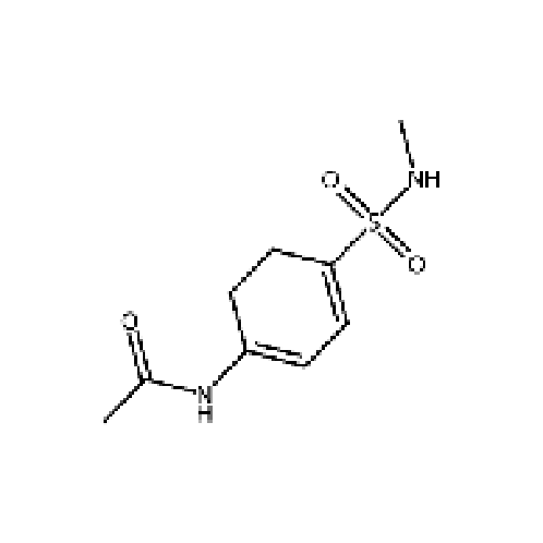 CNS(=O)(=O)C1=CC=C(NC(C)=O)CC1